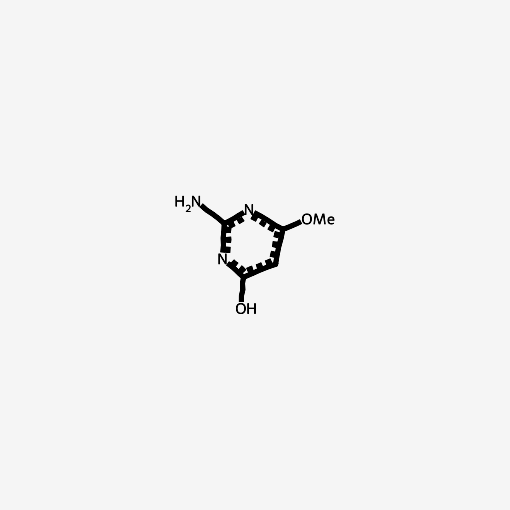 COc1cc(O)nc(N)n1